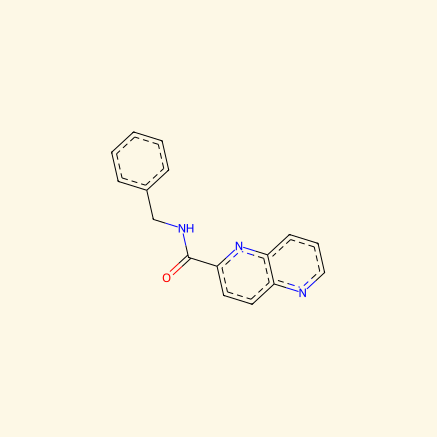 O=C(NCc1ccccc1)c1ccc2ncccc2n1